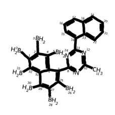 Bc1c(B)c(B)c2c(-c3nc(C)nc(-c4cccc5ccccc45)n3)c(B)c(B)c(B)c2c1B